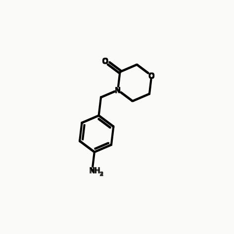 Nc1ccc(CN2CCOCC2=O)cc1